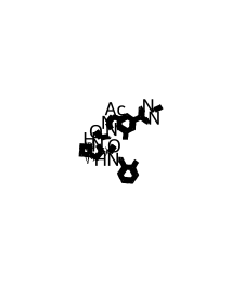 CC(=O)c1nn(CC(=O)N2[C@H](C(=O)NCc3ccccc3C)C[C@@]3(C)CC[C@@H]23)c2c(C)cc(-c3cnc(C)nc3)cc12